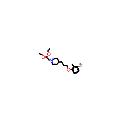 CCOC(CN1CCC(CCCOc2cccc(Br)c2C)CC1)OCC